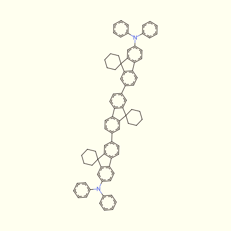 c1ccc(N(c2ccccc2)c2ccc3c(c2)C2(CCCCC2)c2cc(-c4ccc5c(c4)C4(CCCCC4)c4cc(-c6ccc7c(c6)C6(CCCCC6)c6cc(N(c8ccccc8)c8ccccc8)ccc6-7)ccc4-5)ccc2-3)cc1